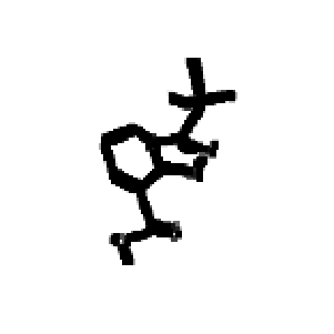 COC(=O)c1cccn2c(C(C)(C)C)nnc12